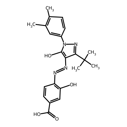 Cc1ccc(-n2nc(C(C)(C)C)c(N=Nc3ccc(C(=O)O)cc3O)c2O)cc1C